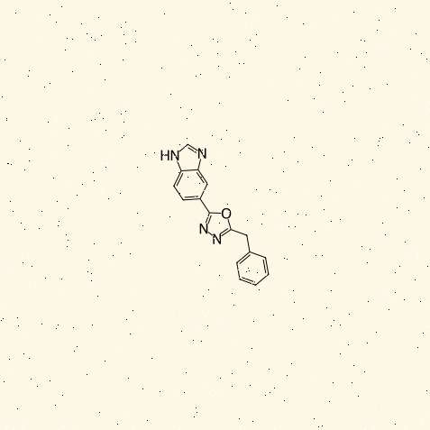 c1ccc(Cc2nnc(-c3ccc4[nH]cnc4c3)o2)cc1